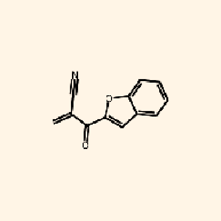 C=C(C#N)C(=O)c1cc2ccccc2o1